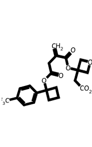 C=C(CC(=O)OC1(c2ccc(C(F)(F)F)cc2)CCC1)C(=O)OC1(CC(=O)O)COC1